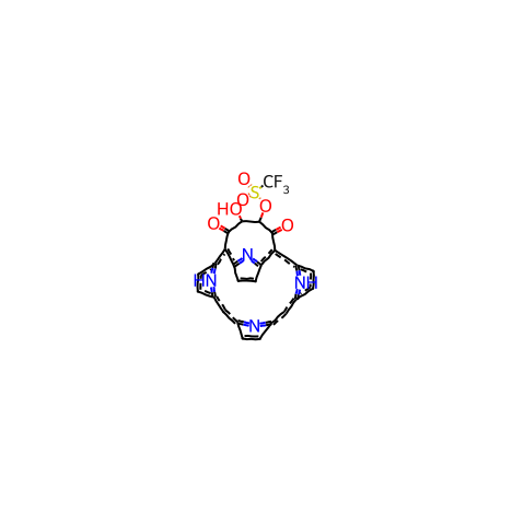 O=C1c2c3nc(c(c4ccc(cc5nc(cc6ccc2[nH]6)C=C5)[nH]4)C(=O)C(OS(=O)(=O)C(F)(F)F)C1O)C=C3